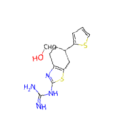 N=C(N)Nc1nc2c(s1)CC(c1cccs1)CC2.O=CO